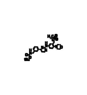 CC(C)(C)OC(=O)NCc1cccc(-c2ccnc(Nc3ccc(N4CCOCC4)c(COS(C)(=O)=O)c3)n2)c1